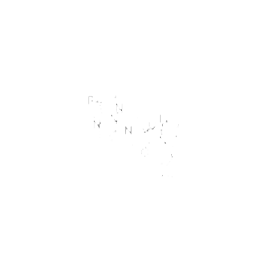 O=C1N2[C@@H](CC[C@H]2c2ccccc2)OC12CN(c1ccnc3c(F)cnn13)C2